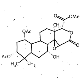 COC(=O)[C@@H]1OC(=O)C2OC23C2C(CC[C@@]13C)C1C(C[C@H]2O)C(C)(C)[C@H](OC(C)=O)C[C@@H]1OC(C)=O